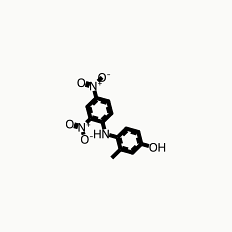 Cc1cc(O)ccc1Nc1ccc([N+](=O)[O-])cc1[N+](=O)[O-]